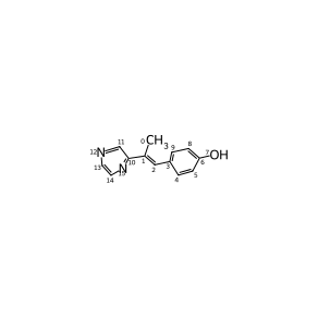 C/C(=C\c1ccc(O)cc1)c1cnccn1